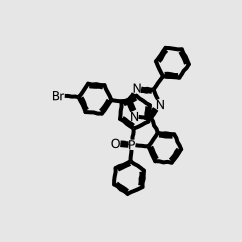 O=P(c1ccccc1)(c1ccccc1)c1ccccc1-c1nc(-c2ccccc2)nc(-c2ccc(Br)cc2)n1